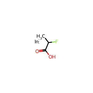 CC(F)C(=O)O.[In]